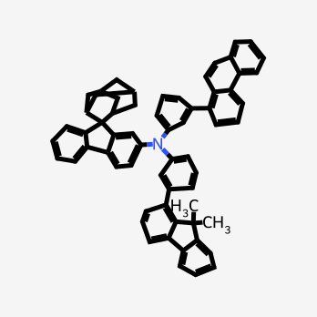 CC1(C)c2ccccc2-c2cccc(-c3cccc(N(c4cccc(-c5cccc6c5ccc5ccccc56)c4)c4ccc5c(c4)C4(c6ccccc6-5)C5CC6CC(C5)CC4C6)c3)c21